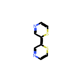 C1=CSC(=C2C=NC=CS2)C=N1